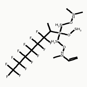 C=C[SiH](C)O[SiH2][Si](O[SiH3])([SiH2]O[SiH](C)C)C(C)C(F)(F)C(F)(F)C(F)(F)C(F)(F)C(F)(F)C(F)(F)F